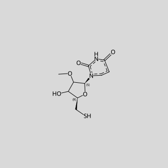 COC1C(O)[C@H](CS)O[C@@H]1n1ccc(=O)[nH]c1=O